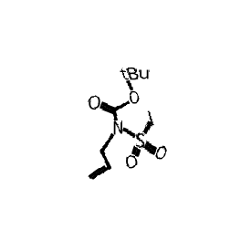 C=CCN(C(=O)OC(C)(C)C)S(=O)(=O)I